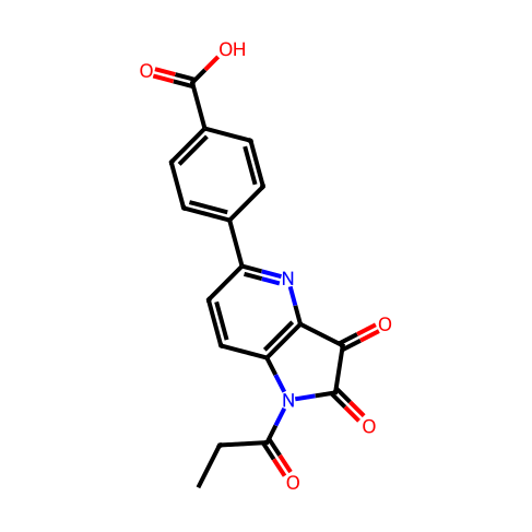 CCC(=O)N1C(=O)C(=O)c2nc(-c3ccc(C(=O)O)cc3)ccc21